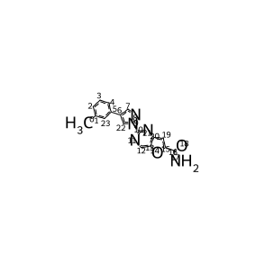 Cc1cccc(-c2cnn(-c3ncc4oc(C(N)=O)cc4n3)c2)c1